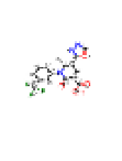 Cc1c(-c2nnco2)cc(C(=O)O)c(=O)n1-c1cccc(C(F)(F)F)c1